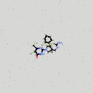 NC1=NC[C@H]2CN(c3nc(CF)c(F)c(=O)[nH]3)C[C@]2(c2ccccc2F)S1